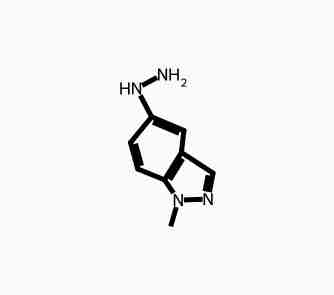 Cn1ncc2cc(NN)ccc21